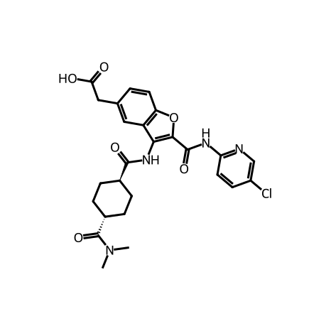 CN(C)C(=O)[C@H]1CC[C@H](C(=O)Nc2c(C(=O)Nc3ccc(Cl)cn3)oc3ccc(CC(=O)O)cc23)CC1